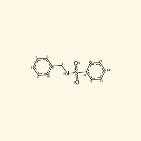 O=S(=O)([N]Cc1ccccc1)c1ccccc1